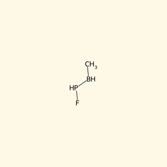 CBPF